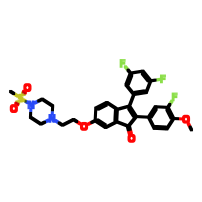 COc1ccc(C2=C(c3cc(F)cc(F)c3)c3ccc(OCCN4CCN(S(C)(=O)=O)CC4)cc3C2=O)cc1F